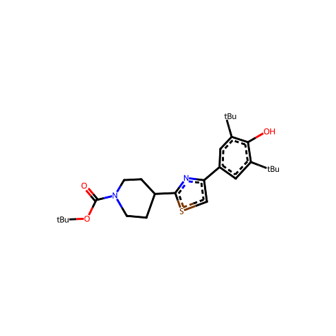 CC(C)(C)OC(=O)N1CCC(c2nc(-c3cc(C(C)(C)C)c(O)c(C(C)(C)C)c3)cs2)CC1